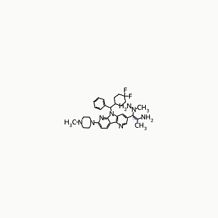 C/C(N)=C(\c1cnc2c3ccc(N4CCN(C)CC4)nc3n(C(c3ccccc3)C3CCC(F)(F)CC3)c2c1)N(C)N